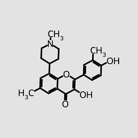 Cc1cc(C2CCN(C)CC2)c2oc(-c3ccc(O)c(C)c3)c(O)c(=O)c2c1